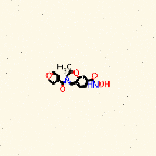 CC1CN(C(=O)C2CCOCC2)CC2CCC(C(=O)NO)CC2O1